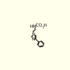 O=C(O)NCCn1cnc(-c2ccccc2)c1